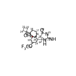 CN1C(=N)N[C@](C)(c2cccc(OC(F)(F)F)c2)[C@H](c2ccc(C3(O)CCC3)cc2)C1=O